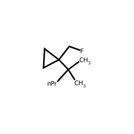 CCCC(C)(C)C1(CF)CC1